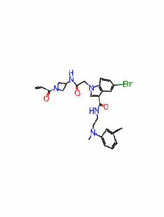 C=CC(=O)N1CC(NC(=O)Cn2cc(C(=O)NCCN(C)c3cccc(C)c3)c3cc(Br)ccc32)C1